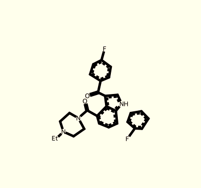 CCN1CCN(C(=O)c2cccc3[nH]cc(C(=O)c4ccc(F)cc4)c23)CC1.Fc1ccccc1